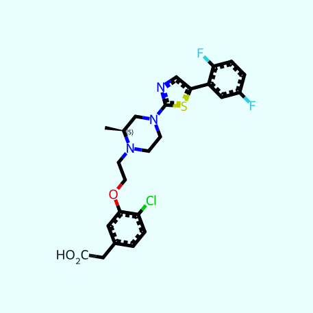 C[C@H]1CN(c2ncc(-c3cc(F)ccc3F)s2)CCN1CCOc1cc(CC(=O)O)ccc1Cl